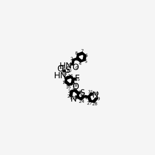 O=C(Cc1ccccc1)NSC(=O)Nc1ccc(Oc2ccnc3cc(-c4cccnc4)sc23)c(F)c1